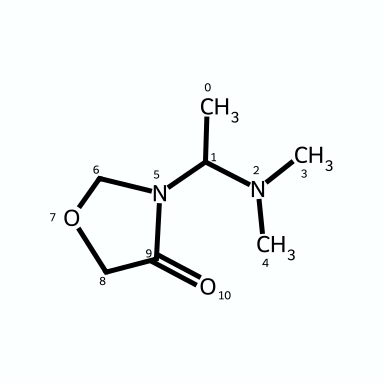 CC(N(C)C)N1COCC1=O